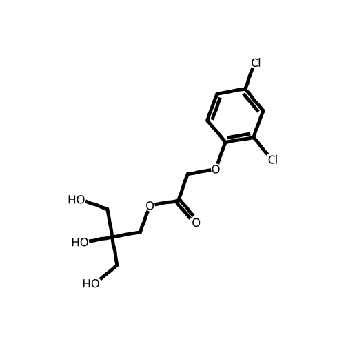 O=C(COc1ccc(Cl)cc1Cl)OCC(O)(CO)CO